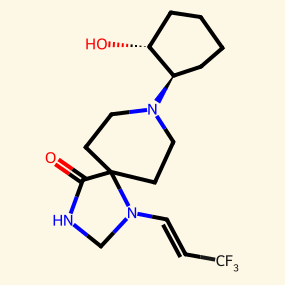 O=C1NCN(/C=C/C(F)(F)F)C12CCN([C@@H]1CCCC[C@H]1O)CC2